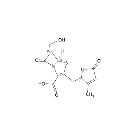 CC1=CC(=O)OC1CC1=C(C(=O)O)N2C(=O)[C@H](CO)[C@H]2S1